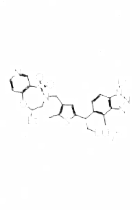 CC[C@@H]1CN(Cc2cc([C@H](CC(=O)O)c3ccc4c(nnn4CC)c3C)sc2C)S(=O)(=O)c2cnccc2O1